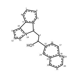 OC(CC1c2ccccc2-c2cncn21)c1ccc2ncccc2c1